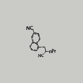 CCCC(C#N)Cc1cccc2cc(C#N)ccc12